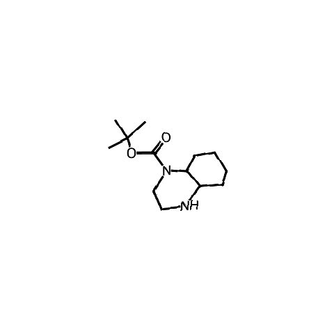 CC(C)(C)OC(=O)N1CCNC2CCCCC21